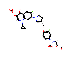 O=C(O)Oc1cn(C2CC2)c2cc(N3CC[C@@H](COc4ccc(N5C[C@H](CO)OC5=O)cc4F)C3)c(F)cc2c1=O